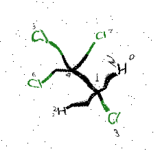 [2H]C([2H])(Cl)C(Cl)(Cl)Cl